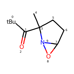 CC(C)(C)C(=O)C1(C)CCC2ON21